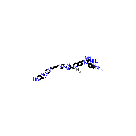 C=C(c1cnc(N2CCN(CCCCCN3CCN(c4ncc5c(n4)CCNC5)CC3)CC2)nc1)N1CCc2cc(Cn3nc(-c4ccc5c(c4)N=C(N)C5)c4c(N)ncnc43)ccc2C1